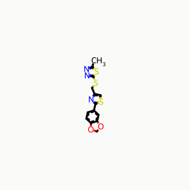 Cc1nnc(SCc2csc(-c3ccc4c(c3)OCO4)n2)s1